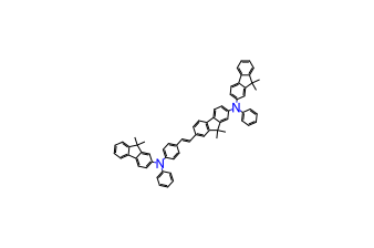 CC1(C)c2ccccc2-c2ccc(N(c3ccccc3)c3ccc(/C=C/c4ccc5c(c4)C(C)(C)c4cc(N(c6ccccc6)c6ccc7c(c6)C(C)(C)c6ccccc6-7)ccc4-5)cc3)cc21